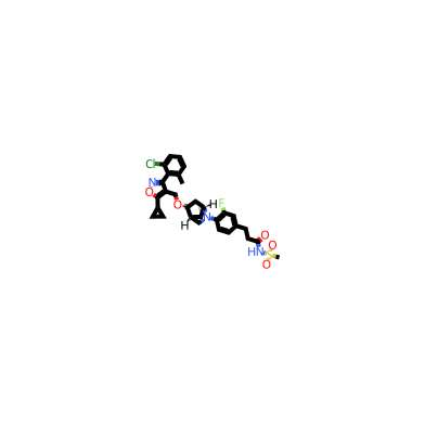 Cc1cccc(Cl)c1-c1noc(C2CC2)c1CO[C@@H]1C[C@@H]2C[C@H]1CN2c1ccc(CCC(=O)NS(C)(=O)=O)cc1F